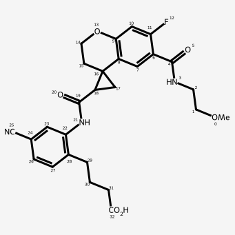 COCCNC(=O)c1cc2c(cc1F)OCCC21CC1C(=O)Nc1cc(C#N)ccc1CCCC(=O)O